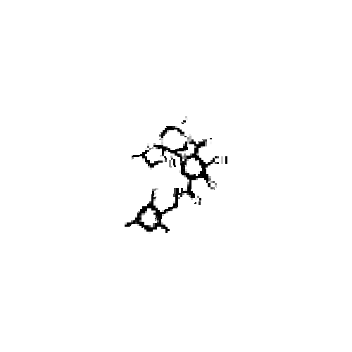 Cc1cc(F)c(CNC(=O)c2cn3c(c(O)c2=O)C(=O)N2C[C@@H]3[C@@]3(CC[C@@H]2C)OC[C@@H](C)O3)c(F)c1